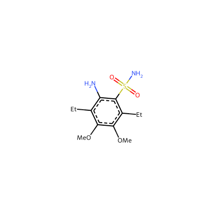 CCc1c(N)c(S(N)(=O)=O)c(CC)c(OC)c1OC